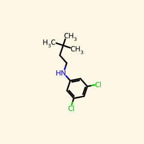 CC(C)(C)CCNc1cc(Cl)cc(Cl)c1